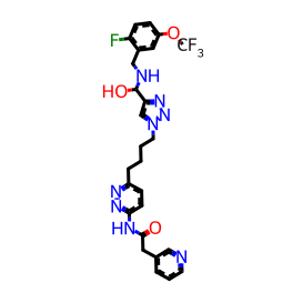 O=C(Cc1cccnc1)Nc1ccc(CCCCn2cc(C(O)NCc3cc(OC(F)(F)F)ccc3F)nn2)nn1